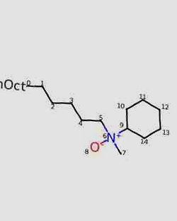 CCCCCCCCCCCCC[N+](C)([O-])C1CCCCC1